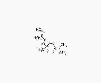 CC(C)C1CCC(C)(OCC(O)=CO)CC1